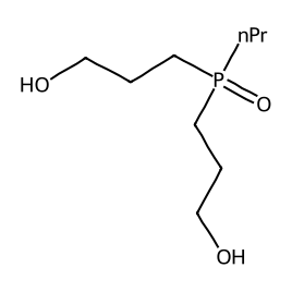 CCCP(=O)(CCCO)CCCO